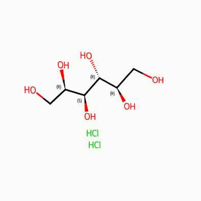 Cl.Cl.OC[C@@H](O)[C@H](O)[C@H](O)[C@H](O)CO